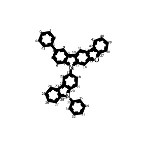 c1ccc(-c2ccc3c(c2)c2cc4c(cc2n3-c2ccc3c(c2)c2ccccc2n3-c2ccccc2)oc2ccccc24)cc1